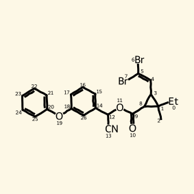 CCC1(C)C(C=C(Br)Br)C1C(=O)OC(C#N)c1cccc(Oc2ccccc2)c1